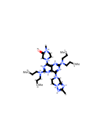 COCCN(CCOC)c1nc(N2CCn3nc(C)nc3C2)c2nc(N(CCOC)CCOC)nc(N3CCN(C)C(=O)C3)c2n1